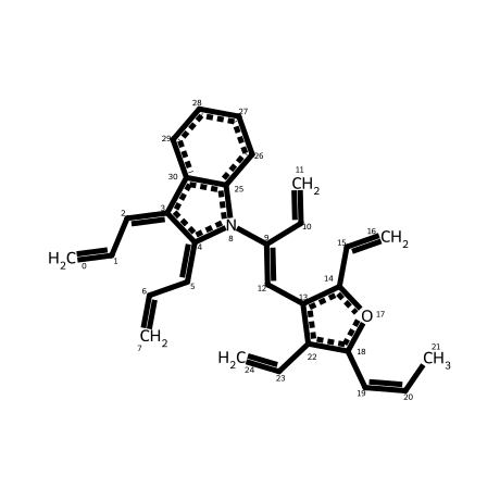 C=C/C=c1\c(=C/C=C)n(/C(C=C)=C/c2c(C=C)oc(/C=C\C)c2C=C)c2ccccc12